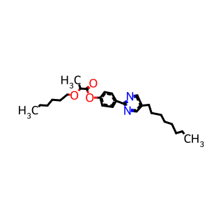 CCCCCCCCc1cnc(-c2ccc(OC(=O)C(C)OCCCCCC)cc2)nc1